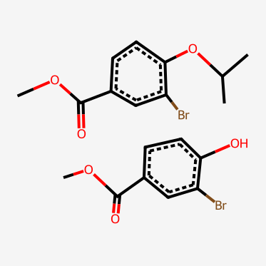 COC(=O)c1ccc(O)c(Br)c1.COC(=O)c1ccc(OC(C)C)c(Br)c1